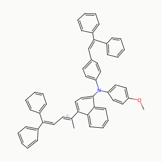 COc1ccc(N(c2ccc(C=C(c3ccccc3)c3ccccc3)cc2)c2ccc(/C(C)=C/C=C(c3ccccc3)c3ccccc3)c3ccccc23)cc1